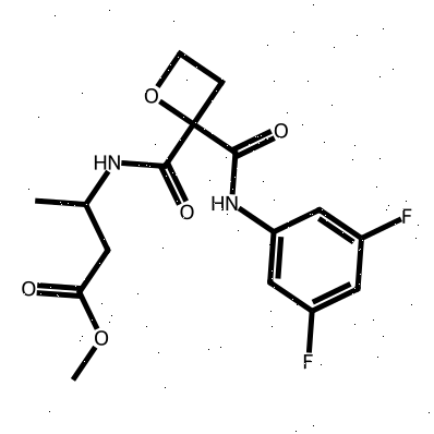 COC(=O)CC(C)NC(=O)C1(C(=O)Nc2cc(F)cc(F)c2)CCO1